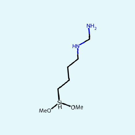 CO[SiH](CCCCNCN)OC